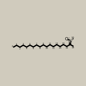 CCCCCCCCCCCCCCCCCC(C)[NH+](C)[O-]